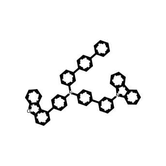 c1ccc(-c2ccc(-c3cccc(N(c4ccc(-c5cccc(-n6c7ccccc7c7ccccc76)c5)cc4)c4ccc(-c5cccc6oc7ccccc7c56)cc4)c3)cc2)cc1